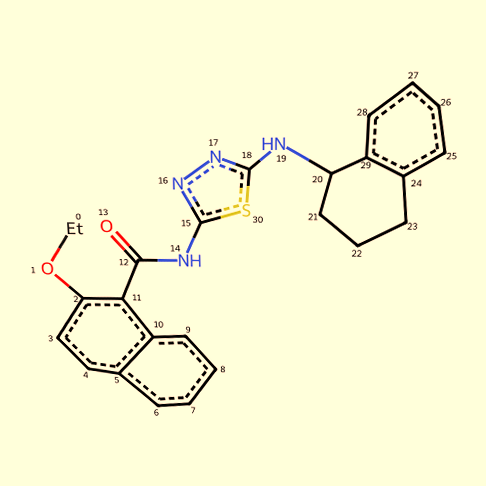 CCOc1ccc2ccccc2c1C(=O)Nc1nnc(NC2CCCc3ccccc32)s1